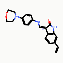 C=Cc1ccc2c(c1)NC(=O)/C2=C\Nc1ccc(N2CCOCC2)cc1